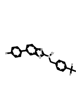 [O-][S+](Cc1ccc(C(F)(F)F)cc1)c1nc2ccc(-c3ccc(F)cc3)cc2o1